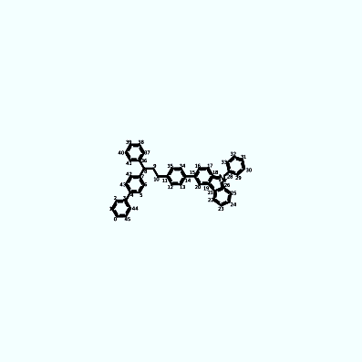 c1ccc(-c2ccc(C(CCc3ccc(-c4ccc5c(c4)c4ccccc4n5-c4ccccc4)cc3)c3ccccc3)cc2)cc1